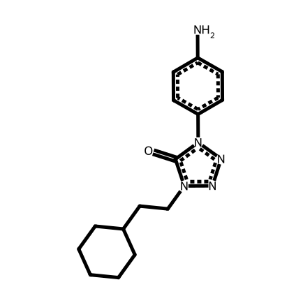 Nc1ccc(-n2nnn(CCC3CCCCC3)c2=O)cc1